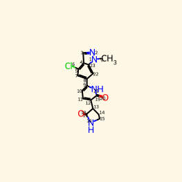 Cn1ncc2c(Cl)cc(-c3ccc(C4CCNC4=O)c(=O)[nH]3)cc21